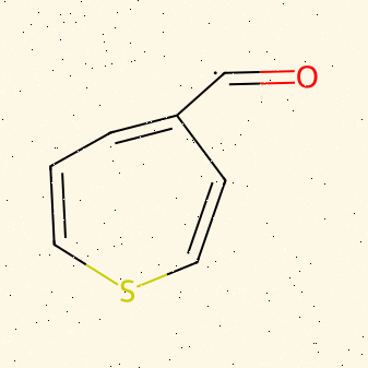 O=[C]C1=CC=CSC=C1